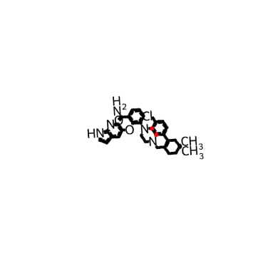 CC1(C)CCC(CN2CCN(c3cccc(C(N)=O)c3Oc3cnc4[nH]ccc4c3)CC2)=C(c2ccc(Cl)cc2)C1